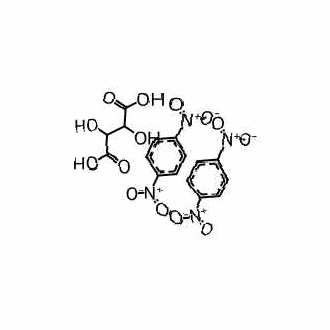 O=C(O)C(O)C(O)C(=O)O.O=[N+]([O-])c1ccc([N+](=O)[O-])cc1.O=[N+]([O-])c1ccc([N+](=O)[O-])cc1